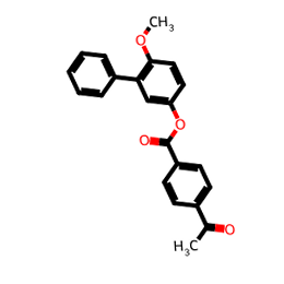 COc1ccc(OC(=O)c2ccc(C(C)=O)cc2)cc1-c1ccccc1